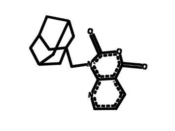 O=c1oc(=O)n(CC23CC4CC(CC(C4)C2)C3)c2ncccc12